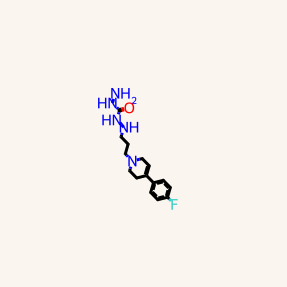 NNC(=O)NNCCCN1CC=C(c2ccc(F)cc2)CC1